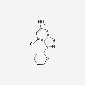 Nc1cc(Cl)c2c(cnn2C2CCCCO2)c1